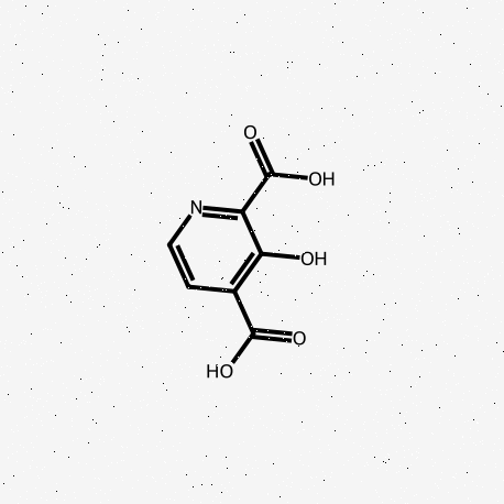 O=C(O)c1ccnc(C(=O)O)c1O